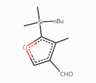 CCCC[Si](C)(C)c1occ(C=O)c1C